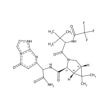 CC(C)(C)C(NC(=O)C(F)(F)F)C(=O)N1C[C@H]2[C@@H]([C@H]1C(=O)NC(C(N)=O)c1cc(=O)n3cc[nH]c3n1)C2(C)C